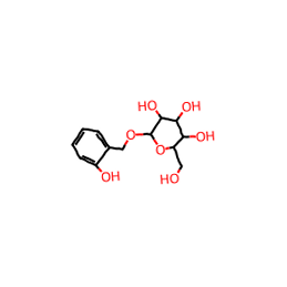 OCC1OC(OCc2ccccc2O)C(O)C(O)C1O